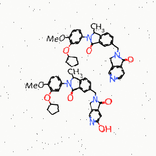 COc1ccc(N2C(=O)c3cc(CN4Cc5cnc(O)cc5C4=O)ccc3C2C)cc1OC1CCCC1.COc1ccc(N2C(=O)c3cc(CN4Cc5cnccc5C4=O)ccc3C2C)cc1OC1CCCC1